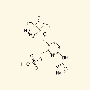 CC(C)(C)[Si](C)(C)OCc1ccc(Nc2ncns2)nc1COS(C)(=O)=O